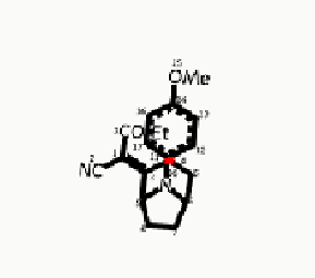 CCOC(=O)C(C#N)=C1CCC2CCC1N2c1ccc(OC)cc1